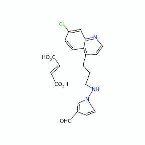 O=C(O)C=CC(=O)O.O=Cc1ccn(NCCCc2ccnc3cc(Cl)ccc23)c1